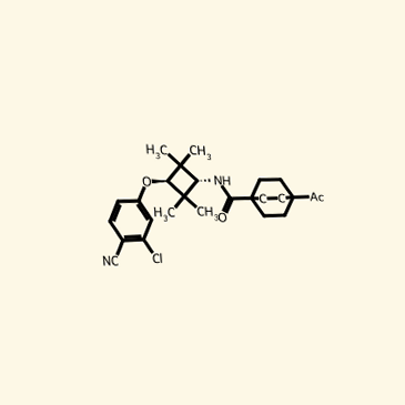 CC(=O)C12CCC(C(=O)N[C@H]3C(C)(C)[C@H](Oc4ccc(C#N)c(Cl)c4)C3(C)C)(CC1)CC2